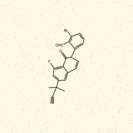 C#CC(C)(C)c1cc(F)c2c(c1)C=CC(c1cccc(Br)c1C=O)C2=O